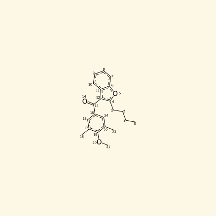 CCCCc1oc2ccccc2c1C(=O)c1cc(C)c(OC)c(C)c1